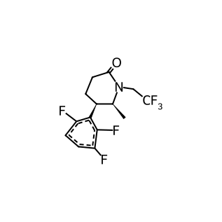 C[C@H]1[C@@H](c2c(F)ccc(F)c2F)CCC(=O)N1CC(F)(F)F